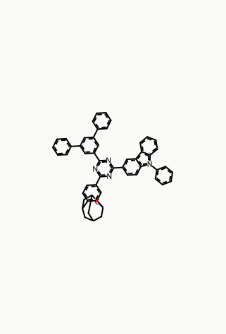 c1ccc(-c2cc(-c3ccccc3)cc(-c3nc(-c4ccc5c(c4)C4CC6CC(CC5C6)C4)nc(-c4ccc5c(c4)c4ccccc4n5-c4ccccc4)n3)c2)cc1